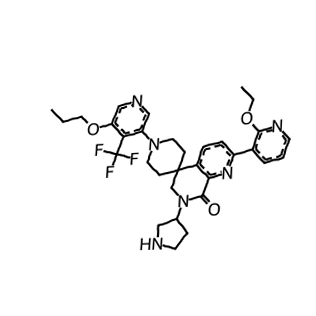 CCCOc1cncc(N2CCC3(CC2)CN(C2CCNC2)C(=O)c2nc(-c4cccnc4OCC)ccc23)c1C(F)(F)F